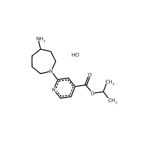 CC(C)OC(=O)c1ccnc(N2CCCC(N)CC2)c1.Cl